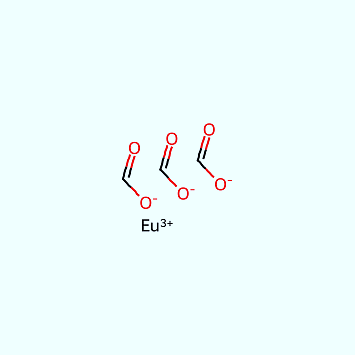 O=C[O-].O=C[O-].O=C[O-].[Eu+3]